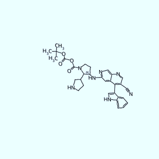 CC(C)(C)OC(=O)OC(=O)N1CC[C@@H](Nc2cc3c(-c4c[nH]c5ccccc45)c(C#N)cnc3cn2)C1C1CCNC1